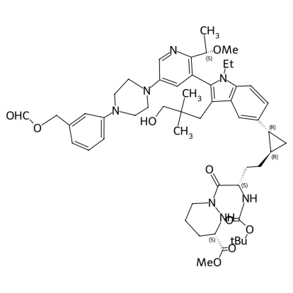 CCn1c(-c2cc(N3CCN(c4cccc(COC=O)c4)CC3)cnc2[C@H](C)OC)c(CC(C)(C)CO)c2cc([C@@H]3C[C@H]3CC[C@H](NC(=O)OC(C)(C)C)C(=O)N3CCC[C@@H](C(=O)OC)N3)ccc21